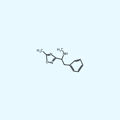 CNC(Cc1ccccc1)c1noc(C)n1